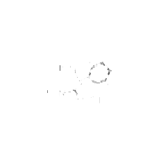 Cl.NC(=O)C(c1ccccc1)C(F)(F)F